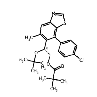 Cc1cc2ncsc2c(-c2ccc(Cl)cc2)c1[C@H](COC(=O)C(C)(C)C)OC(C)(C)C